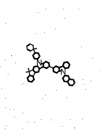 CC1(c2ccc(-n3c4ccc(-c5ccc6c(c5)c5ccccc5n6-c5ccc6ccccc6c5)cc4c4cc5c(cc43)C(C)(C)c3ccccc3-5)cc2)C=CC=CC1